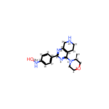 C[C@H]1COCCN1c1nc(-c2ccc(NO)cc2)nc2c1CCNC2